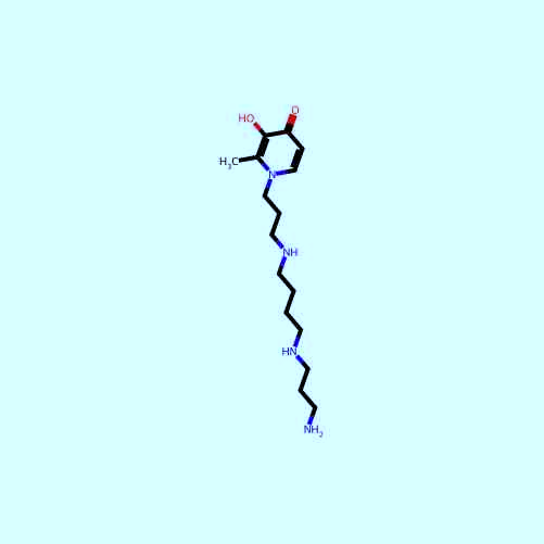 Cc1c(O)c(=O)ccn1CCCNCCCCNCCCN